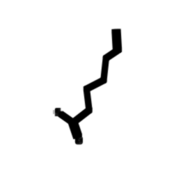 C=CCCCCC(=O)[S]